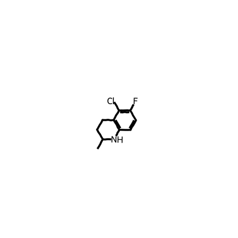 CC1CCc2c(ccc(F)c2Cl)N1